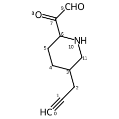 C#CCC1CCC(C(=O)C=O)NC1